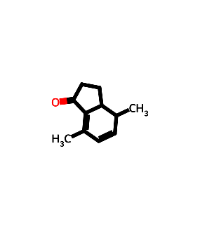 CC1=C2C(=O)CCC2C(C)C=C1